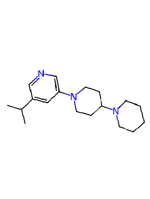 CC(C)c1cncc(N2CCC(N3CCCCC3)CC2)c1